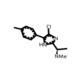 CN[C@H](C)c1nc(Cl)c(-c2ccc(C)cc2)[nH]1